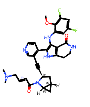 COc1c(F)cc(F)cc1Nc1c(-c2ccncc2C#C[C@H]2C[C@@H]3C[C@@H]3N2C(=O)/C=C/CN(C)C)[nH]c2c1C(=O)NCC2